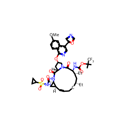 CC[C@@H]1CC/C=C\[C@H]2C[C@@]2(C(=O)NS(=O)(=O)C2CC2)NC(=O)[C@@H]2C[C@@H](Oc3ncc(-c4cnco4)c4cc(OC)ccc34)CN2C(=O)[C@@H](NC(=O)OC(C)(C)C(F)(F)F)[C@H](CC)C1